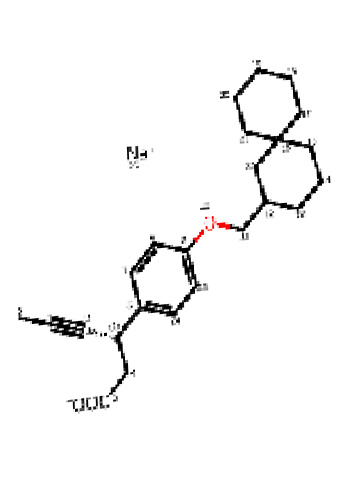 CC#C[C@@H](CC(=O)[O-])c1ccc(OCC2CCCC3(CCCCC3)C2)cc1.[Na+]